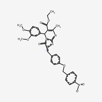 CCOC(=O)C1=C(C)N=c2s/c(=C\c3ccc(OCc4ccc([N+](=O)[O-])cc4)cc3)c(=O)n2C1c1ccc(OC)c(OC)c1